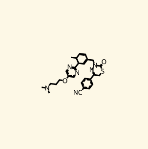 CC1C=CC(CN2N=C(c3ccc(C#N)cc3)CSC2=O)=CC1c1ncc(OCCCN(C)C)cn1